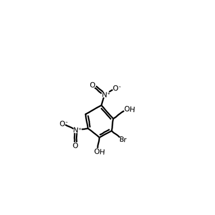 O=[N+]([O-])c1cc([N+](=O)[O-])c(O)c(Br)c1O